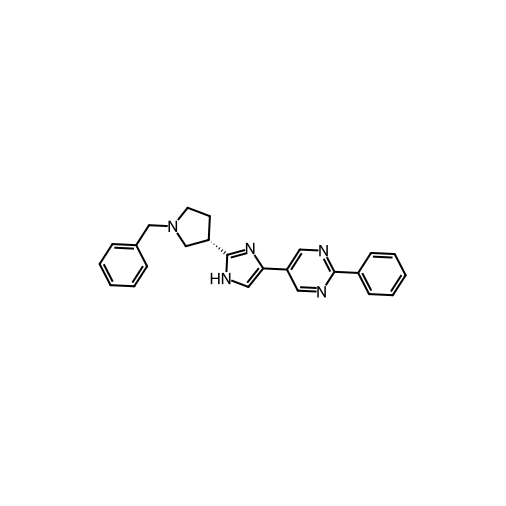 c1ccc(CN2CC[C@H](c3nc(-c4cnc(-c5ccccc5)nc4)c[nH]3)C2)cc1